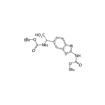 CC(C)(C)OC(=O)Nc1nc2ccc(C(NC(=O)OC(C)(C)C)C(=O)O)cc2s1